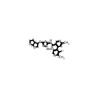 COc1cnc(C)c(F)c1-c1cc(C)ncc1C(=O)Nc1nnc(OC2COC3OCCC23)s1